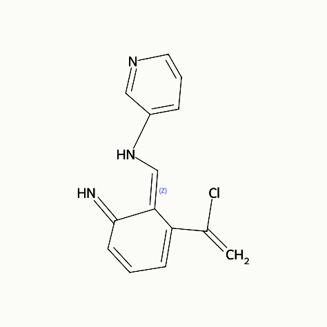 C=C(Cl)C1=CC=CC(=N)/C1=C\Nc1cccnc1